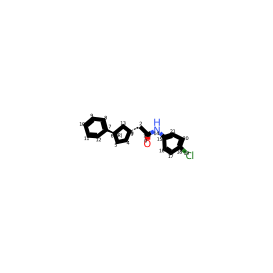 O=C(C[C@@H]1CC[C@@H](c2ccccc2)C1)Nc1ccc(Cl)cc1